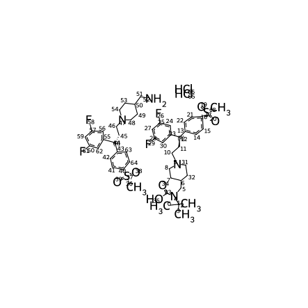 CC(C)(C)N(CC1CCN(CC[C@H](c2ccc(S(C)(=O)=O)cc2)c2cc(F)cc(F)c2)CC1)C(=O)O.CS(=O)(=O)c1ccc([C@@H](CCN2CCC(CN)CC2)c2cc(F)cc(F)c2)cc1.Cl.Cl